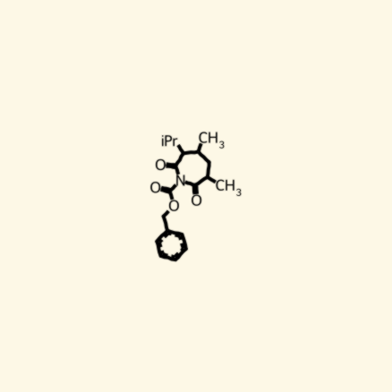 CC1CC(C)C(C(C)C)C(=O)N(C(=O)OCc2ccccc2)C1=O